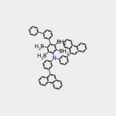 Bc1c(B)c(N(c2cccc(-c3cc4ccccc4c4ccccc34)c2)c2cccc(-c3cc4ccccc4c4ccccc34)c2)c(B)c(B)c1-c1cccc(-c2ccccc2)c1